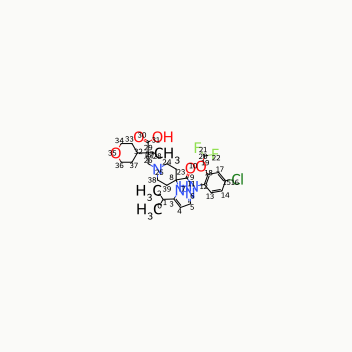 CC(C)c1ccnn1C1(C(=O)Nc2ccc(Cl)cc2OC(F)F)CCN(C[C@@](C)(C(=O)O)C2CCOCC2)CC1